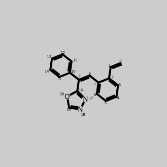 C=Cc1ccccc1C=C(c1ccccc1)c1nnco1